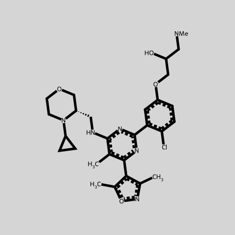 CNCC(O)COc1ccc(Cl)c(-c2nc(NC[C@H]3COCCN3C3CC3)c(C)c(-c3c(C)noc3C)n2)c1